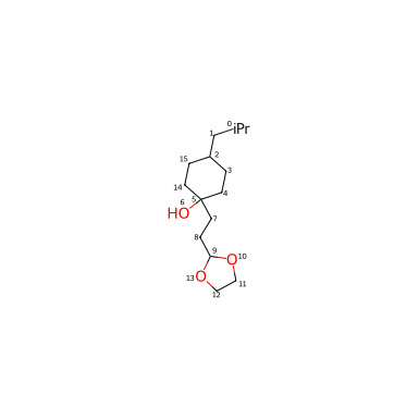 CC(C)CC1CCC(O)(CCC2OCCO2)CC1